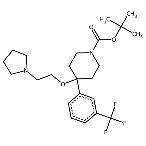 CC(C)(C)OC(=O)N1CCC(OCCN2CCCC2)(c2cccc(C(F)(F)F)c2)CC1